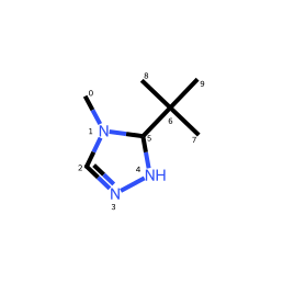 CN1C=NNC1C(C)(C)C